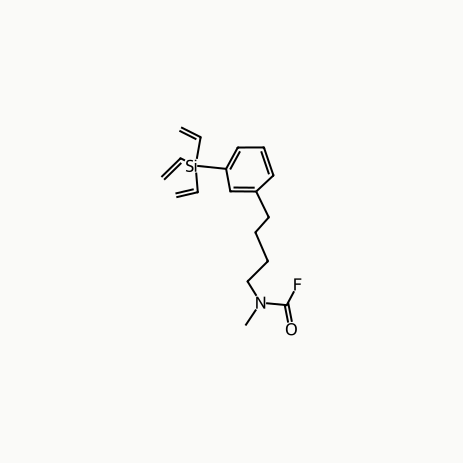 C=C[Si](C=C)(C=C)c1cccc(CCCCN(C)C(=O)F)c1